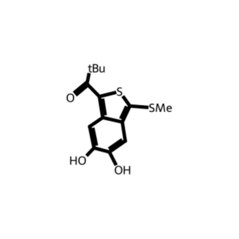 CSc1sc(C(=O)C(C)(C)C)c2cc(O)c(O)cc12